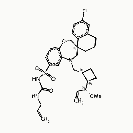 C=CCNC(=O)NS(=O)(=O)c1ccc2c(c1)N(C[C@@H]1CC[C@H]1[C@@H](C=C)OC)C[C@@]1(CCCc3cc(Cl)ccc31)CO2